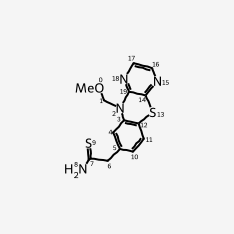 COCN1c2cc(CC(N)=S)ccc2Sc2nccnc21